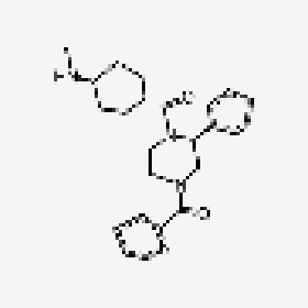 CN[C@H]1CC[C@H](C(=O)N2CCN(C(=O)c3ccccn3)C[C@@H]2c2ccccc2)CC1